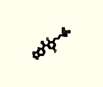 O=C(c1ccc2ncoc2n1)c1cc(F)cc(CCCN[SH](=O)=O)c1F